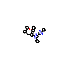 C1=C\c2ccc(-c3nc(-c4ccccc4)cc(-c4cnc(-c5ccccc5)nc4)n3)cc2-c2ccc3ccccc3c2Oc2ccccc2-c2ccccc2/1